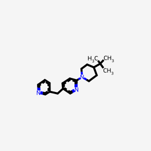 CC(C)(C)C1CCN(c2ccc(Cc3cccnc3)cn2)CC1